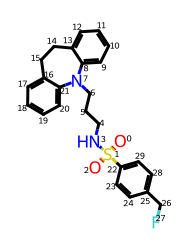 O=S(=O)(NCCCN1c2ccccc2CCc2ccccc21)c1ccc(CF)cc1